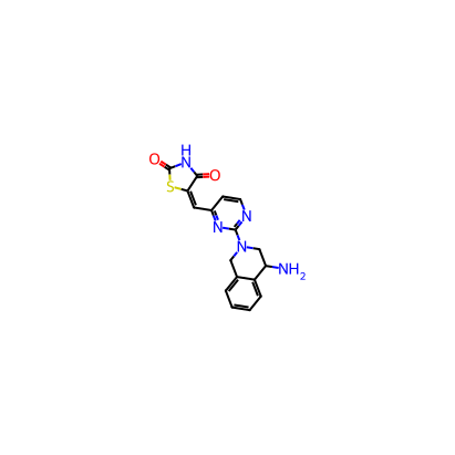 NC1CN(c2nccc(C=C3SC(=O)NC3=O)n2)Cc2ccccc21